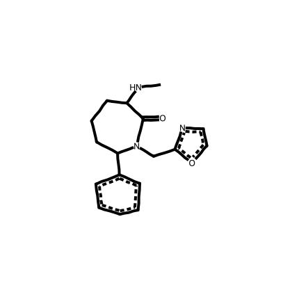 CNC1CCCC(c2ccccc2)N(Cc2ncco2)C1=O